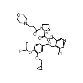 O=C(O[C@@H](Cc1c(Cl)cncc1Cl)c1ccc(OC(F)F)c(OCC2CC2)c1)[C@@H]1SCCN1C(=O)CCN1CCOCC1